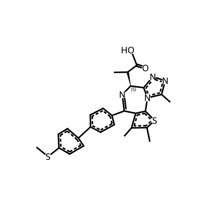 CSc1ccc(-c2ccc(C3=N[C@@H](C(C)C(=O)O)c4nnc(C)n4-c4sc(C)c(C)c43)cc2)cc1